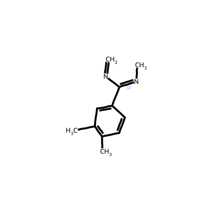 C=N/C(=N\C)c1ccc(C)c(C)c1